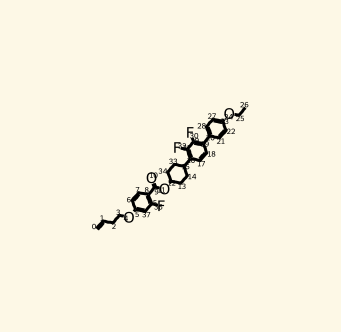 C=CCCOc1ccc(C(=O)OC2CCC(c3ccc(-c4ccc(OCC)cc4)c(F)c3F)CC2)c(F)c1